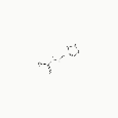 C1=CSSC1.CCOC(N)=O